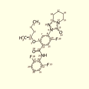 CCC[C@H](C)Oc1cc(-n2nc3n(c2=O)CCCC3)c(F)cc1C(=O)Nc1c(F)cccc1F